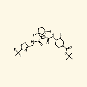 CC(C)(C)OC(=O)N1CC[C@H](NC(=O)[C@H]2[C@H](C(=O)NCc3nc(C(C)(F)F)co3)[C@@H]3CC[C@H]2C32CC2)[C@@H](F)C1